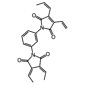 C=CC1=C(/C=C\C)C(=O)N(c2cccc(N3C(=O)C(=C/C)/C(=C\C)C3=O)c2)C1=O